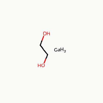 OCCO.[GaH3]